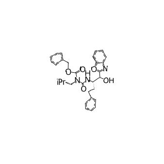 CC(C)CN(C(=O)N[C@@H](CCc1ccccc1)C(O)c1nc2ccccc2o1)C(=O)OCc1ccccc1